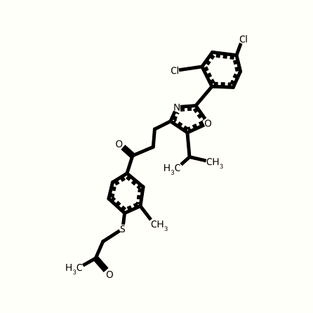 CC(=O)CSc1ccc(C(=O)CCc2nc(-c3ccc(Cl)cc3Cl)oc2C(C)C)cc1C